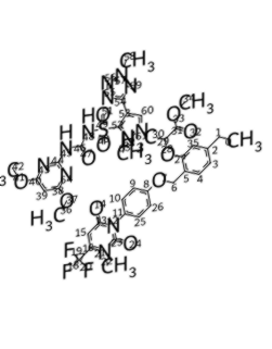 CCc1ccc(COc2ccc(-n3c(=O)cc(C(F)(F)F)n(C)c3=O)cc2)c(OC(C)C(=O)OC)c1.COc1cc(OC)nc(NC(=O)NS(=O)(=O)c2c(-c3nnn(C)n3)cnn2C)n1